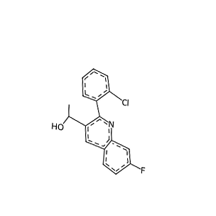 CC(O)c1cc2ccc(F)cc2nc1-c1ccccc1Cl